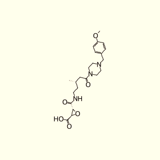 COc1ccc(CN2CCN(C(=O)C[C@@H](C)CCNC(=O)[C@@H]3O[C@H]3C(=O)O)CC2)cc1